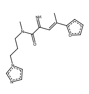 C/C(=C\C(=N)C(=O)N(C)CCCn1ccnc1)c1ccco1